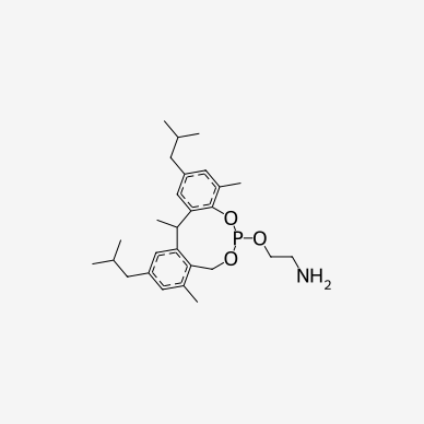 Cc1cc(CC(C)C)cc2c1COP(OCCN)Oc1c(C)cc(CC(C)C)cc1C2C